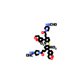 O=CNC1CCN(C(=O)/C=C/c2ccc(Sc3ccc(/C=C/C(=O)N4CCC(NC=O)CC4)c(-c4ccc5c(c4)CCOO5)c3[N+](=O)[O-])c([N+](=O)[O-])c2-c2ccc3c(c2)CCOO3)CC1